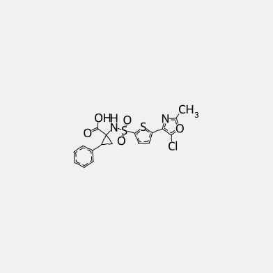 Cc1nc(-c2ccc(S(=O)(=O)NC3(C(=O)O)CC3c3ccccc3)s2)c(Cl)o1